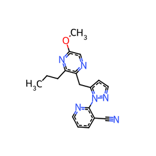 CCCc1nc(OC)cnc1Cc1ccnn1-c1ncccc1C#N